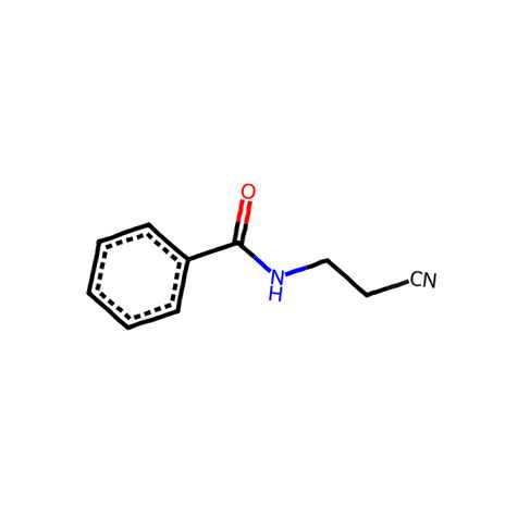 N#CCCNC(=O)c1ccccc1